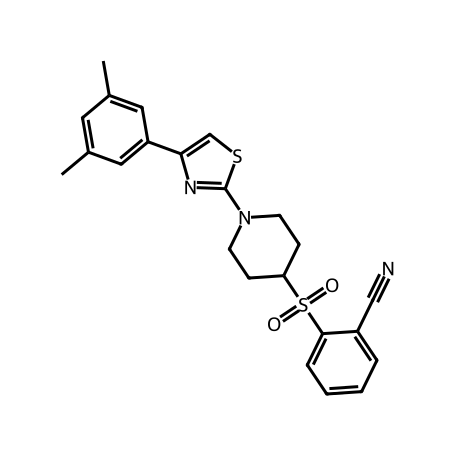 Cc1cc(C)cc(-c2csc(N3CCC(S(=O)(=O)c4ccccc4C#N)CC3)n2)c1